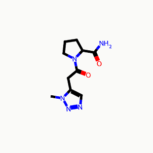 Cn1nncc1CC(=O)N1CCCC1C(N)=O